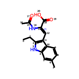 CCc1[nH]c2cc(C)ccc2c1/C=C(\NC(C)=O)C(=O)O